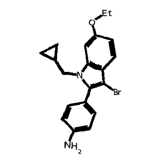 CCOc1ccc2c(Br)c(-c3ccc(N)cc3)n(CC3CC3)c2c1